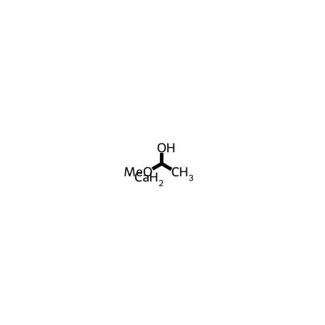 COC(C)O.[CaH2]